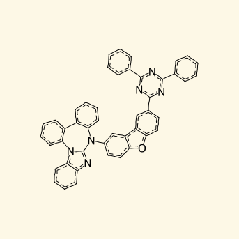 c1ccc(-c2nc(-c3ccccc3)nc(-c3ccc4oc5ccc(N6c7ccccc7-c7ccccc7-n7c6nc6ccccc67)cc5c4c3)n2)cc1